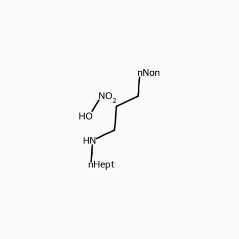 CCCCCCCCCCCCNCCCCCCC.O=[N+]([O-])O